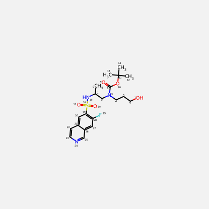 CC(CN(CCCO)C(=O)OC(C)(C)C)NS(=O)(=O)c1cc2ccncc2cc1F